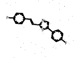 Fc1ccc(C=Cc2ncc(-c3ccc(F)cc3)s2)cc1